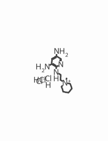 C[N+]1(CCNc2ncc(N)cc2N)CCCCC1.Cl.Cl.[Cl-]